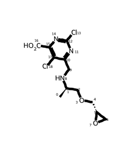 C[C@H](COC[C@@H]1CO1)NCc1nc(Cl)nc(C(=O)O)c1Cl